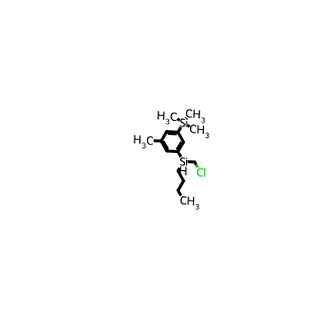 CCCC[SiH](CCl)c1cc(C)cc([Si](C)(C)C)c1